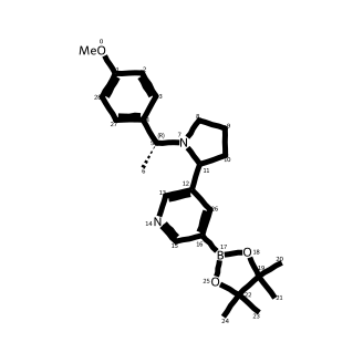 COc1ccc([C@@H](C)N2CCCC2c2cncc(B3OC(C)(C)C(C)(C)O3)c2)cc1